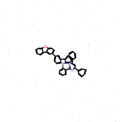 c1ccc(-c2cc(-c3ccccc3)nc(-c3ccccc3-n3c4ccccc4c4cc(-c5ccc6oc7ccccc7c6c5)ccc43)n2)cc1